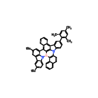 Cc1cc(C)c(-c2ccc3c(c2)c2c4ccccc4c4c5c2n3-c2ccc3ccccc3c2B5n2c3ccc(C(C)(C)C)cc3c3cc(C(C)(C)C)cc-4c32)c(C)c1